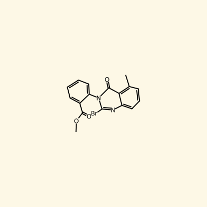 COC(=O)c1ccccc1-n1c(Br)nc2cccc(C)c2c1=O